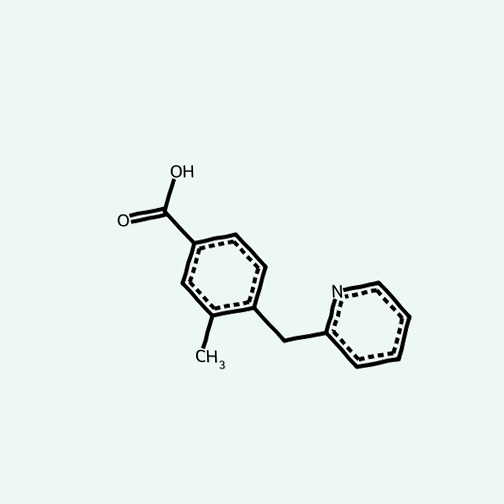 Cc1cc(C(=O)O)ccc1Cc1ccccn1